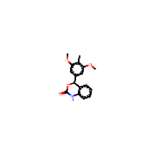 COc1cc(C2OC(=O)Nc3ccccc32)cc(OC)c1C